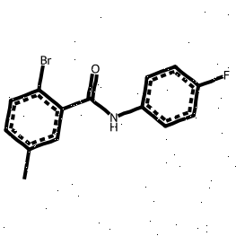 Cc1ccc(Br)c(C(=O)Nc2ccc(F)cc2)c1